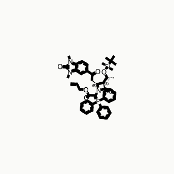 C=CCOC(=O)C(N1C(=O)[C@H]([C@@H](C)O[Si](C)(C)C(C)(C)C)[C@H]1CC(=O)c1ccc2c(c1)n(C)c(=O)n2C)=P(c1ccccc1)(c1ccccc1)c1ccccc1